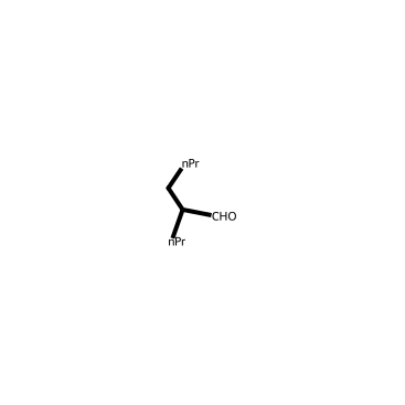 [CH2]CCC(C=O)CCCC